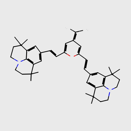 CC1(C)CCN2CCC(C)(C)c3cc(/C=C/C4=CC(=C(C#N)C#N)C=C(/C=C/c5cc6c7c(c5)C(C)(C)CCN7CCC6(C)C)O4)cc1c32